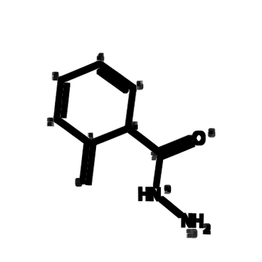 C=C1C=CC=CC1C(=O)NN